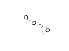 Cc1ccc(S(=O)(=O)Nc2ccc(NC(=O)N[C@H](Cc3ccccc3)C(=O)NCC(C)(C)C)cc2)cc1